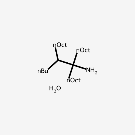 CCCCCCCCC(CCCC)C(N)(CCCCCCCC)CCCCCCCC.O